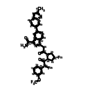 Cc1cc2ncc(-c3cc4c(C(N)=O)nn(CC(=O)N5C[C@H](F)C[C@H]5C(=O)N(F)c5cccc(OC(F)(F)F)c5)c4cn3)cn2n1